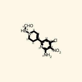 Nc1nc(C2=CCN(BC=O)CC2)cc(Cl)c1[N+](=O)[O-]